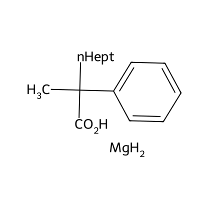 CCCCCCCC(C)(C(=O)O)c1ccccc1.[MgH2]